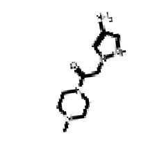 CN1CCN(C(=O)CN2C=C(N)CN2)CC1